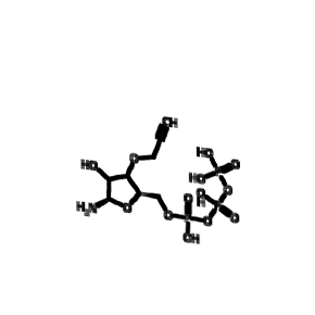 C#CCOC1C(O)[C@H](N)O[C@@H]1COP(=O)(O)OP(=O)(O)OP(=O)(O)O